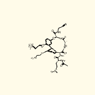 CC(=O)N[C@@H](CC[S+](C)[O-])C(=O)N(C)[C@@H]1C(=O)N[C@@H](C)C(=O)N[C@H](C(=O)NCC#N)Cc2ccc(OCCN)c(c2)-c2cc1ccc2OCCN